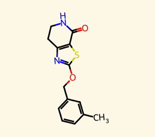 Cc1cccc(COc2nc3c(s2)C(=O)NCC3)c1